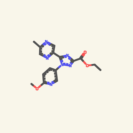 CCOC(=O)c1nc(-c2cnc(C)cn2)n(-c2ccc(OC)nc2)n1